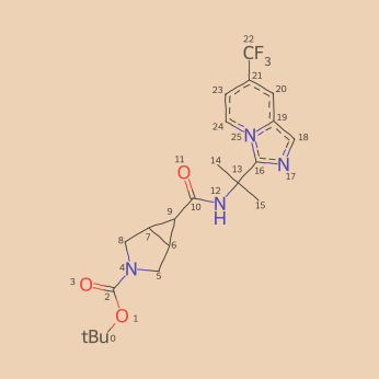 CC(C)(C)OC(=O)N1CC2C(C1)C2C(=O)NC(C)(C)c1ncc2cc(C(F)(F)F)ccn12